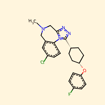 CN1Cc2cc(Cl)ccc2-n2c(nnc2[C@H]2CC[C@@H](Oc3ccc(F)cc3)CC2)C1